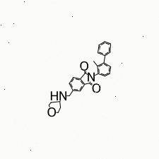 Cc1c(-c2ccccc2)cccc1N1C(=O)c2ccc(CNC3CCOCC3)cc2C1=O